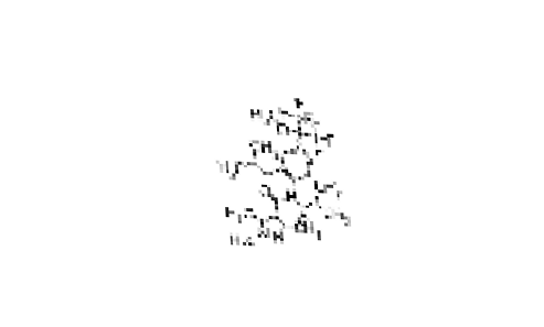 COC(c1ccc(N(C(=O)c2c(C)nn(C)c2C)C(=O)C(C)C)c(CC(C)C)c1)(C(F)(F)F)C(F)(F)F